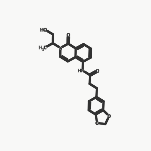 CC(CO)n1ccc2c(NC(=O)CCc3ccc4c(c3)OCO4)cccc2c1=O